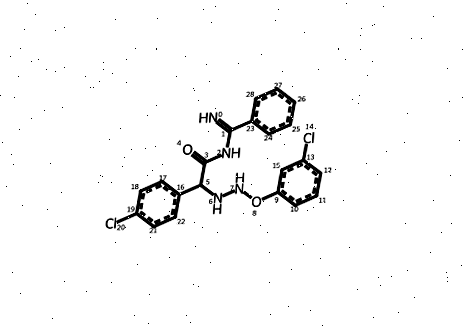 N=C(NC(=O)C(NNOc1cccc(Cl)c1)c1ccc(Cl)cc1)c1ccccc1